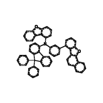 c1ccc(C2(c3ccccc3)c3ccccc3-c3c(N(c4cccc(-c5cccc6oc7c8ccccc8ccc7c56)c4)c4cccc5oc6ccccc6c45)cccc32)cc1